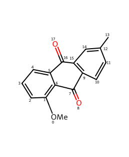 COc1cccc2c1C(=O)c1ccc(C)cc1C2=O